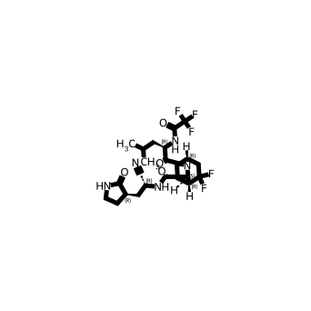 CC(C)C[C@@H](NC(=O)C(F)(F)F)C(=O)N1[C@@H]2CC[C@H]([C@H]1C(=O)N[C@@H](C#N)C[C@H]1CCNC1=O)C(F)(F)C2